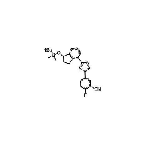 CC(C)(C)[Si](C)(C)OC1CCc2c(-c3ncc(-c4ccc(F)c(C#N)c4)s3)cccc21